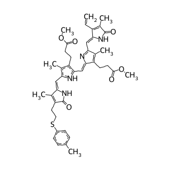 C=CC1=C(C)C(=O)N/C1=C\C1=NC(=C\c2[nH]c(/C=C3\NC(=O)C(CCSc4ccc(C)cc4)=C3C)c(C)c2CCC(=O)OC)/C(CCC(=O)OC)=C1C